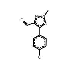 Cn1nc(C=O)c(-c2ccc(Cl)cc2)n1